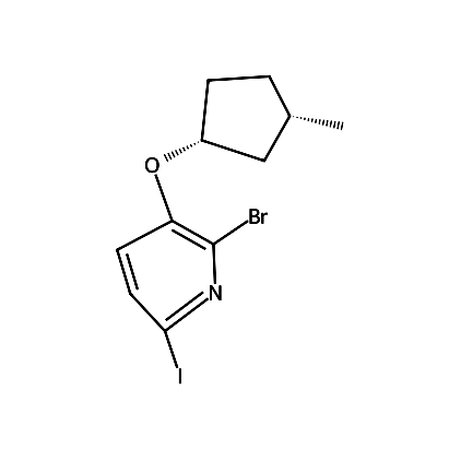 C[C@H]1CC[C@@H](Oc2ccc(I)nc2Br)C1